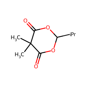 CC(C)C1OC(=O)C(C)(C)C(=O)O1